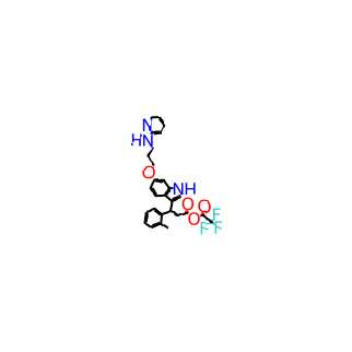 Cc1ccccc1C(CC(=O)OC(=O)C(F)(F)F)c1c[nH]c2cc(OCCCNc3ccccn3)ccc12